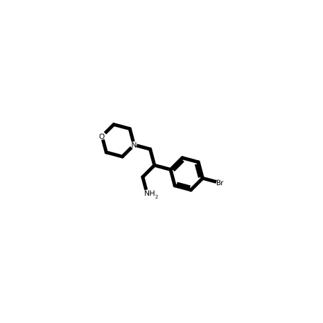 NCC(CN1CCOCC1)c1ccc(Br)cc1